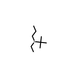 [CH2]CN(CCC)C(C)(C)C